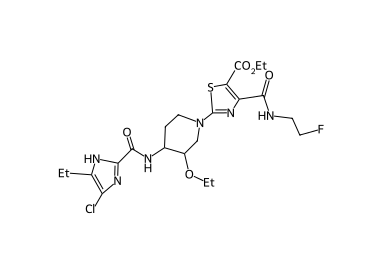 CCOC(=O)c1sc(N2CCC(NC(=O)c3nc(Cl)c(CC)[nH]3)C(OCC)C2)nc1C(=O)NCCF